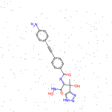 CC(O)(/C(=N\C(=O)c1ccc(C#Cc2ccc(N)cc2)cc1)C(=O)NO)c1c[nH]nn1